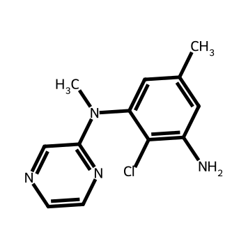 Cc1cc(N)c(Cl)c(N(C)c2cnccn2)c1